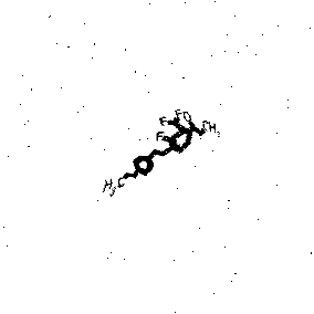 CCCc1ccc(CCc2ccc(C(=O)CC)c(C(F)F)c2F)cc1